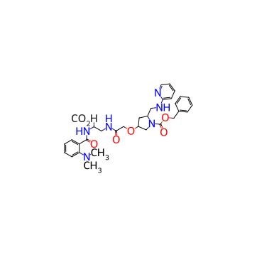 CN(C)c1ccccc1C(=O)NC(CNC(=O)COC1CC(CNc2ccccn2)N(C(=O)OCc2ccccc2)C1)C(=O)O